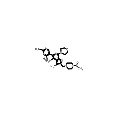 Cc1c(CN2CCN([S+](C)[O-])CC2)sc2c(N3CCOCC3)nc(-c3cnc(N)nc3N)c(N)c12